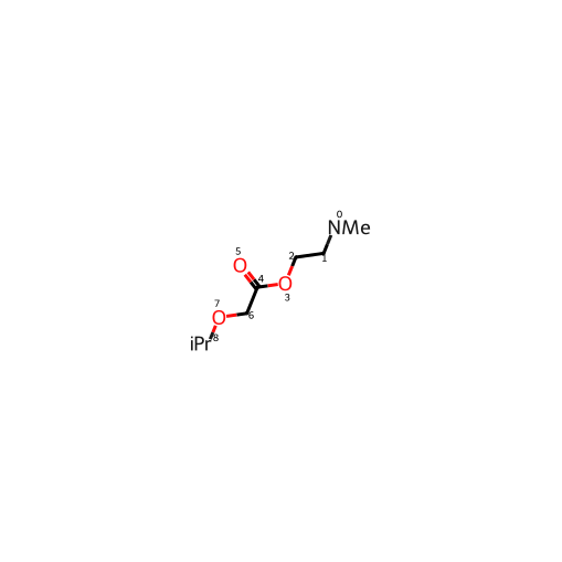 CNCCOC(=O)COC(C)C